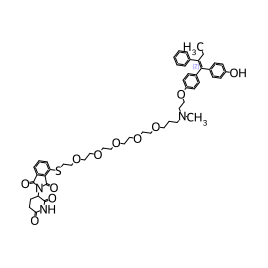 CC/C(=C(\c1ccc(O)cc1)c1ccc(OCCN(C)CCCOCCOCCOCCOCCOCCSc2cccc3c2C(=O)N(C2CCC(=O)NC2=O)C3=O)cc1)c1ccccc1